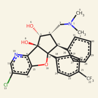 CN(C)C[C@H]1[C@@H](O)[C@@]2(O)c3ncc(Cl)cc3O[C@@]2(c2ccc(C(F)(F)F)cc2)[C@@H]1c1ccccc1